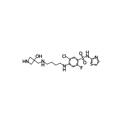 O=S(=O)(Nc1nccs1)c1cc(Cl)c(NCCCCNCC2(O)CNC2)cc1F